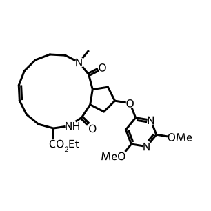 CCOC(=O)C1CCC=CCCCCN(C)C(=O)C2CC(Oc3cc(OC)nc(OC)n3)CC2C(=O)N1